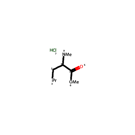 CNC(CC(C)C)C(=O)OC.Cl